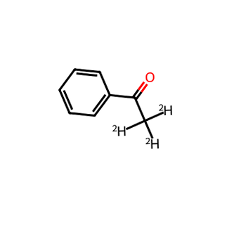 [2H]C([2H])([2H])C(=O)c1ccccc1